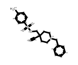 Cc1ccc(S(=O)(=O)OCC2(C#N)CCN(Cc3ccccc3)CC2)cc1